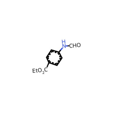 CCOC(=O)c1ccc(NC=O)cc1